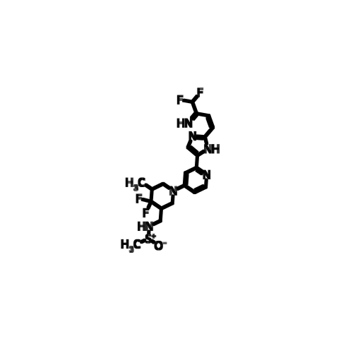 CC1CN(c2ccnc(-c3cnc(/C=C\C(=N)C(F)F)[nH]3)c2)CC(CN[S+](C)[O-])C1(F)F